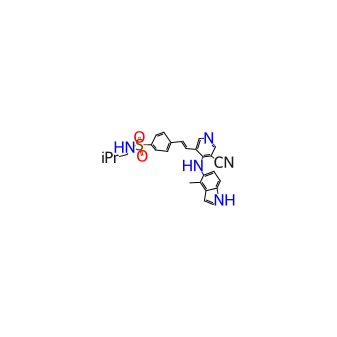 Cc1c(Nc2c(C#N)cncc2/C=C/c2ccc(S(=O)(=O)NCC(C)C)cc2)ccc2[nH]ccc12